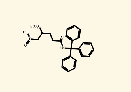 CCOC(=O)C(CCC(=O)NC(c1ccccc1)(c1ccccc1)c1ccccc1)C[PH](=O)O